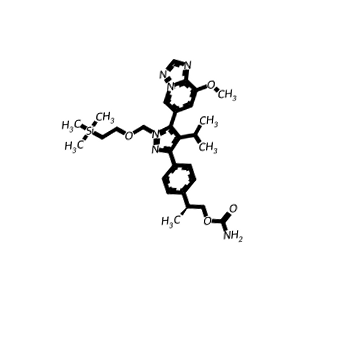 COc1cc(-c2c(C(C)C)c(-c3ccc([C@H](C)COC(N)=O)cc3)nn2COCC[Si](C)(C)C)cn2ncnc12